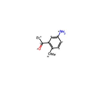 CCC(=O)c1cc(N)ccc1OC